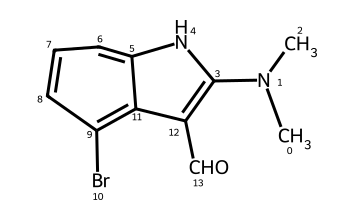 CN(C)c1[nH]c2cccc(Br)c2c1C=O